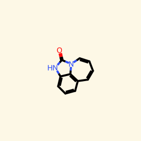 O=c1[nH]c2cccc3c2n1C=CC=C3